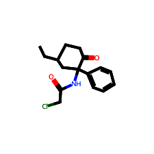 CCC1CCC(=O)C(NC(=O)CCl)(c2ccccc2)C1